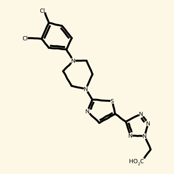 O=C(O)Cn1nnc(-c2cnc(N3CCN(c4ccc(Cl)c(Cl)c4)CC3)s2)n1